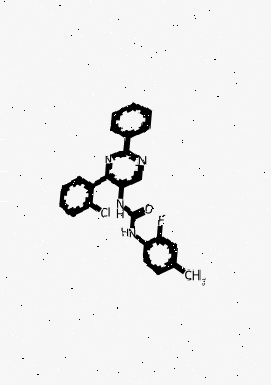 Cc1ccc(NC(=O)Nc2cnc(-c3ccccc3)nc2-c2ccccc2Cl)c(F)c1